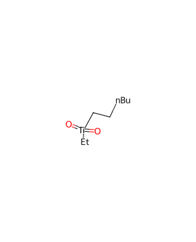 CCCCC[CH2][Ti](=[O])(=[O])[CH2]C